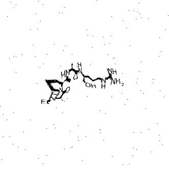 C=C(N[C@@H](C)C(=O)N[C@H](CO)CCCNC(=N)N)[C@@H]1CCCN1C(=O)[C@H](C)NCC